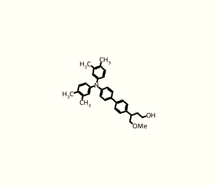 COCC(CCO)c1ccc(-c2ccc(N(c3ccc(C)c(C)c3)c3ccc(C)c(C)c3)cc2)cc1